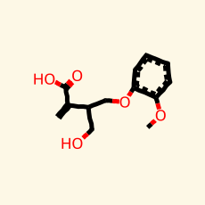 C=C(C(=O)O)C(CO)COc1ccccc1OC